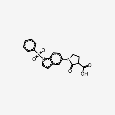 O=C(O)C1CCN(c2ccc3c(ccn3S(=O)(=O)c3ccccc3)c2)C1=O